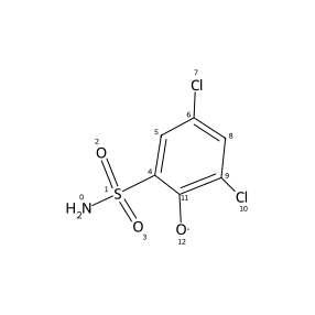 NS(=O)(=O)c1cc(Cl)cc(Cl)c1[O]